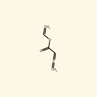 C=C=CC(=O)OC=C